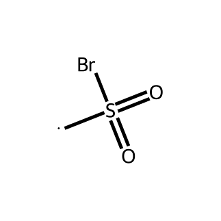 [CH2]S(=O)(=O)Br